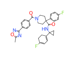 Cc1nc(-c2ccc(C(=O)N3CCC(C(=O)NC4(C5=CC=C(F)CC5)CC4)(c4ccc(F)cc4)CC3)cc2)no1